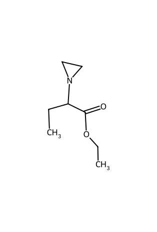 CCOC(=O)C(CC)N1CC1